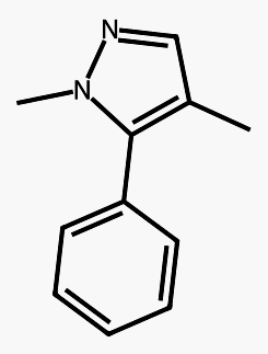 Cc1cnn(C)c1-c1ccccc1